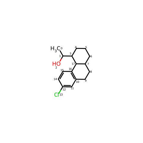 CC(O)C1CCCC2CCc3cc(Cl)ccc3C21